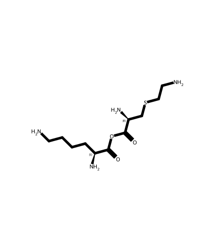 NCCCC[C@H](N)C(=O)OC(=O)[C@@H](N)CSCCN